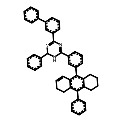 C1=Cc2c(c(-c3ccccc3)c3c(c2-c2cccc(C4=NC(c5cccc(-c6ccccc6)c5)=NC(c5ccccc5)N4)c2)CCCC3)CC1